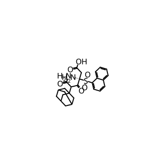 NC(=O)C(C(=O)[C@@](N)(CC(=O)O)S(=O)(=O)c1cccc2ccccc12)C12CC3CC(CC(C3)C1)C2